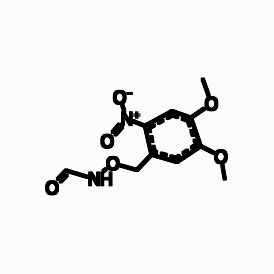 COc1cc(CONC=O)c([N+](=O)[O-])cc1OC